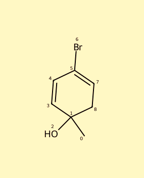 CC1(O)C=CC(Br)=CC1